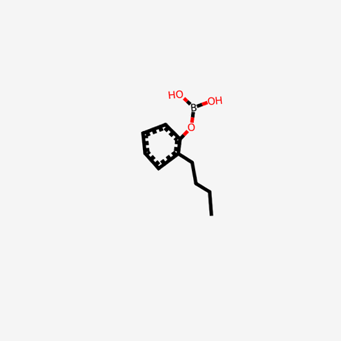 CCCCc1ccccc1OB(O)O